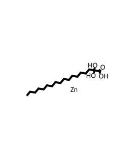 CCCCCCCCCCCCCCCCC(O)(O)C(=O)O.[Zn]